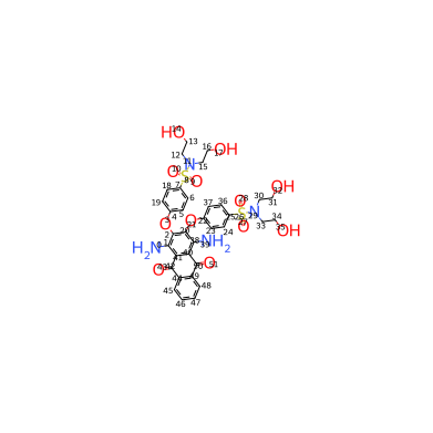 Nc1c(Oc2ccc(S(=O)(=O)N(CCO)CCO)cc2)c(Oc2ccc(S(=O)(=O)N(CCO)CCO)cc2)c(N)c2c1C(=O)c1ccccc1C2=O